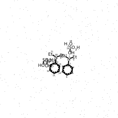 CCN(CC)c1ccccc1.CCN(CC)c1ccccc1.O.O=S(=O)(O)O.O=S(=O)(O)O.O=S(=O)(O)O